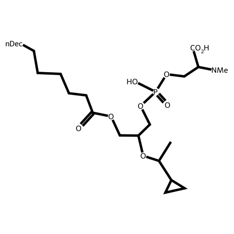 CCCCCCCCCCCCCCCC(=O)OCC(COP(=O)(O)OCC(NC)C(=O)O)OC(C)C1CC1